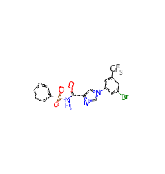 O=C(NS(=O)(=O)c1ccccc1)c1cn(-c2cc(Br)cc(C(F)(F)F)c2)cn1